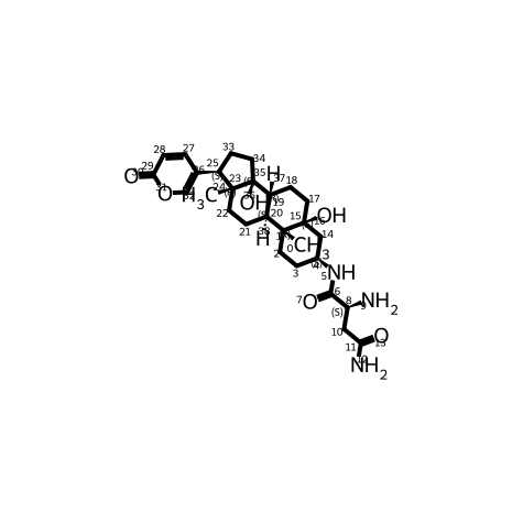 C[C@]12CC[C@H](NC(=O)[C@@H](N)CC(N)=O)C[C@@]1(O)CC[C@@H]1[C@@H]2CC[C@]2(C)[C@@H](c3ccc(=O)oc3)CC[C@]12O